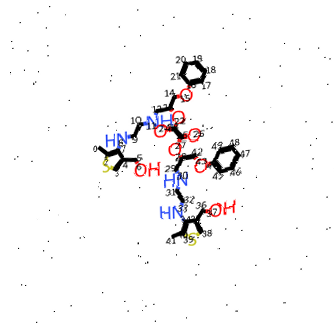 Cc1scc(CO)c1NCCNCC(COc1ccccc1)OC(=O)C(=O)OC(CNCCNc1c(CO)csc1C)COc1ccccc1